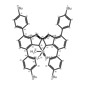 CCCCCC1=Cc2c(-c3ccc(C(C)(C)C)cc3)ccc(-c3ccc(C(C)(C)C)cc3)c2[CH]1[Zr]([CH3])([CH3])(=[SiH2])[CH]1C(CCCCC)=Cc2c(-c3ccc(C(C)(C)C)cc3)ccc(-c3ccc(C(C)(C)C)cc3)c21